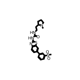 CN1CCCC1CCNC(=O)Nc1nc2ccc(-c3cccc(S(C)(=O)=O)c3)cc2s1